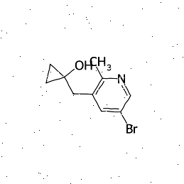 Cc1ncc(Br)cc1CC1(O)CC1